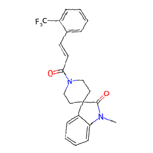 CN1C(=O)C2(CCN(C(=O)C=Cc3ccccc3C(F)(F)F)CC2)c2ccccc21